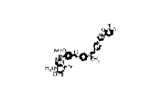 COc1cc(C(=O)C[C@H]2CC[C@H](N(C)CCN3CCN(c4cnn(C5CCC(=O)NC5=O)c4)CC3)CC2)ccc1Nc1ncc2c(n1)N(C(C)C)CC(F)(F)C(=O)N2C